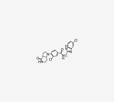 C[C@H](NC(=O)c1ccc(N2CCC3C(=O)NCCC32)c(Cl)c1)c1nc2cc(Cl)ccc2[nH]1